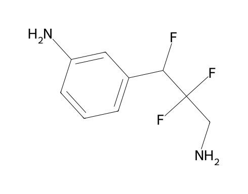 NCC(F)(F)C(F)c1cccc(N)c1